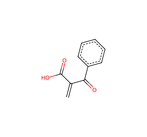 C=C(C(=O)O)C(=O)c1ccccc1